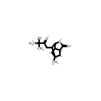 CCC(C)(C)C(=O)CC1C2OC(=O)C3CC1(C)CC32